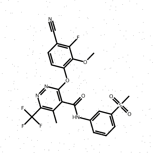 COc1c(Oc2nnc(C(F)(F)F)c(C)c2C(=O)Nc2cccc(S(C)(=O)=O)c2)ccc(C#N)c1F